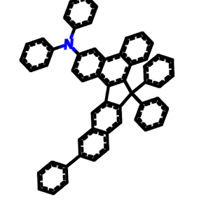 c1ccc(-c2ccc3cc4c(cc3c2)-c2c(c3ccccc3c3cc(N(c5ccccc5)c5ccccc5)ccc23)C4(c2ccccc2)c2ccccc2)cc1